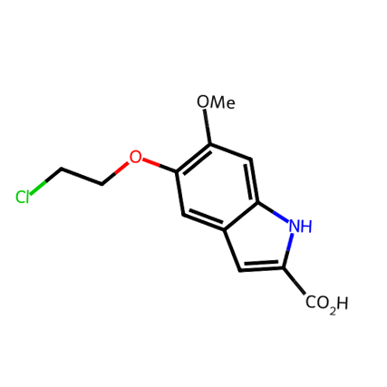 COc1cc2[nH]c(C(=O)O)cc2cc1OCCCl